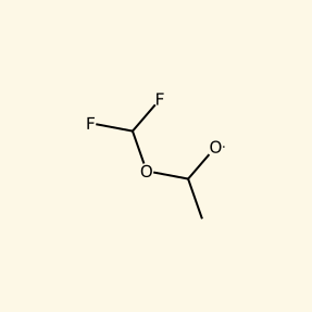 CC([O])OC(F)F